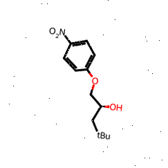 CC(C)(C)C[C@H](O)COc1ccc([N+](=O)[O-])cc1